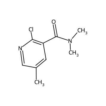 Cc1cnc(Cl)c(C(=O)N(C)C)c1